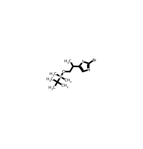 CC(CO[Si](C)(C)C(C)(C)C)c1cnc(Br)s1